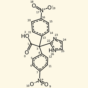 O=C(O)C(c1ccc([N+](=O)[O-])cc1)(c1ccc([N+](=O)[O-])cc1)c1ncc[nH]1